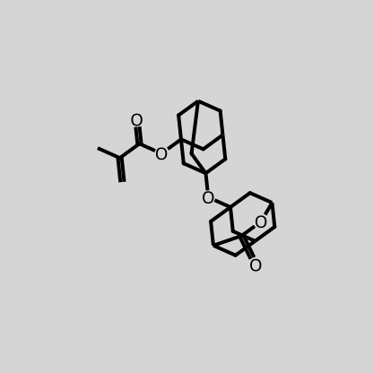 C=C(C)C(=O)OC12CC3CC(C1)CC(OC14CC5CC(C1)OC(=O)C(C5)C4)(C3)C2